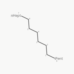 CC[CH]C(C)CCCCCCCCCCCCC